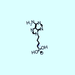 Nc1ncnc2c1ncn2CC/C=C/P(=O)(O)O